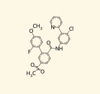 COc1ccc(-c2cc(S(C)(=O)=O)ccc2C(=O)Nc2ccc(Cl)c(-c3ccccn3)c2)c(F)c1